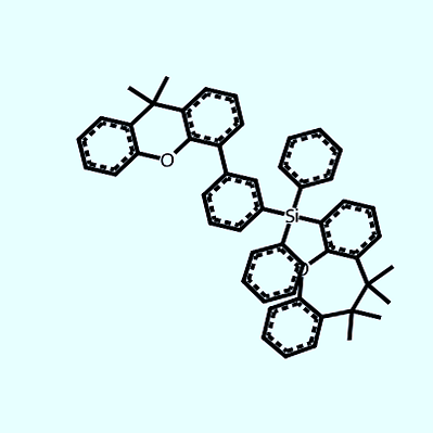 CC1(C)c2ccccc2Oc2c(-c3cccc([Si](c4ccccc4)(c4ccccc4)c4cccc5c4Oc4ccccc4C(C)(C)C5(C)C)c3)cccc21